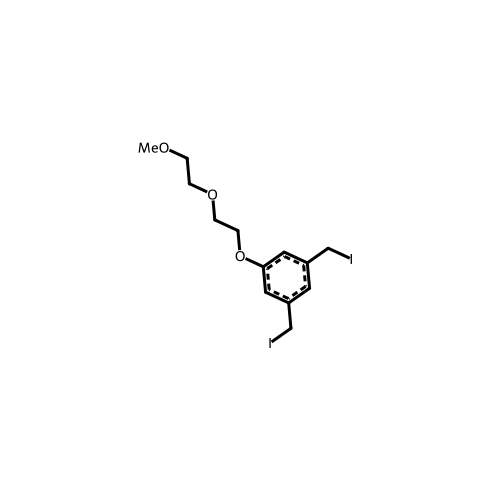 COCCOCCOc1cc(CI)cc(CI)c1